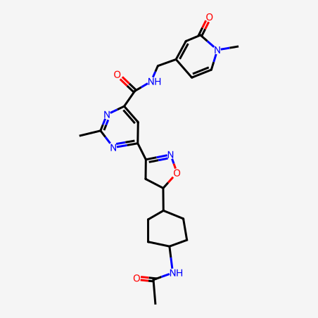 CC(=O)NC1CCC(C2CC(c3cc(C(=O)NCc4ccn(C)c(=O)c4)nc(C)n3)=NO2)CC1